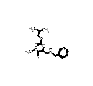 COC(=O)C(CNCc1ccccc1)OC(=O)OCC(C)C